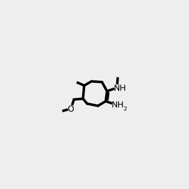 CN/C1=C(\N)CCC(COC)C(C)CC1